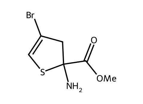 COC(=O)C1(N)CC(Br)=CS1